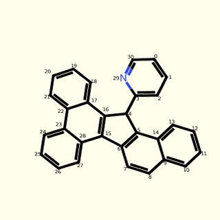 c1ccc(C2c3c(ccc4ccccc34)-c3c2c2ccccc2c2ccccc32)nc1